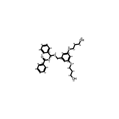 O=C(OC(OCc1cc(OCCCO)cc(OCCCO)c1)c1ccccc1)c1ccccc1